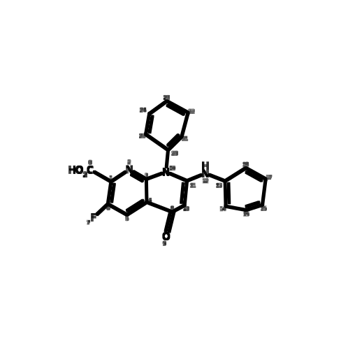 O=C(O)c1nc2c(cc1F)c(=O)cc(Nc1ccccc1)n2-c1ccccc1